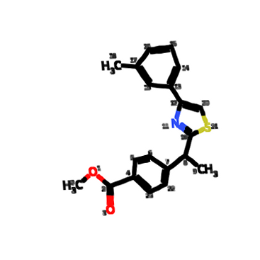 COC(=O)c1ccc(C(C)c2nc(-c3cccc(C)c3)cs2)cc1